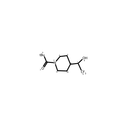 CC(C)(C)C(=O)N1CCC(C(O)C(F)(F)F)CC1